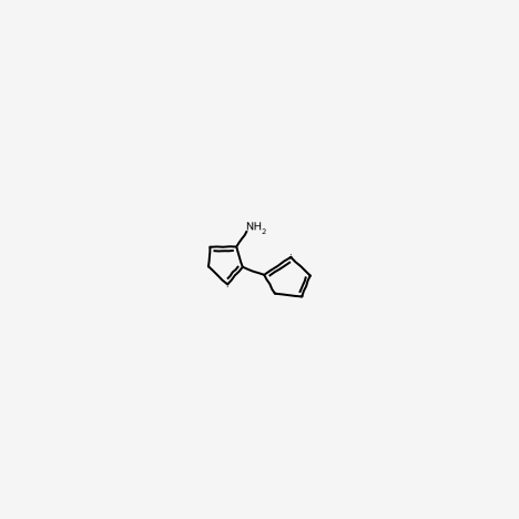 NC1=CC[C]=C1C1=[C]C=CC1